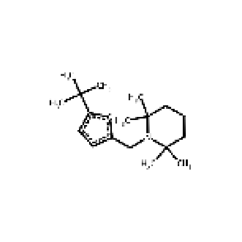 CC(C)(C)c1ccc(CN2C(C)(C)CCCC2(C)C)o1